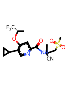 C[C@H](Oc1cc(C(=O)NC(C)(C#N)CS(C)(=O)=O)ncc1C1CC1)C(F)(F)F